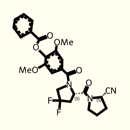 COc1cc(C(=O)N2CC(F)(F)C[C@H]2C(=O)N2CCC[C@H]2C#N)cc(OC)c1OC(=O)c1ccccc1